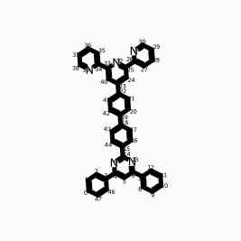 c1ccc(-c2cc(-c3ccccc3)nc(-c3ccc(-c4ccc(-c5cc(-c6ccccn6)nc(-c6ccccn6)c5)cc4)cc3)n2)cc1